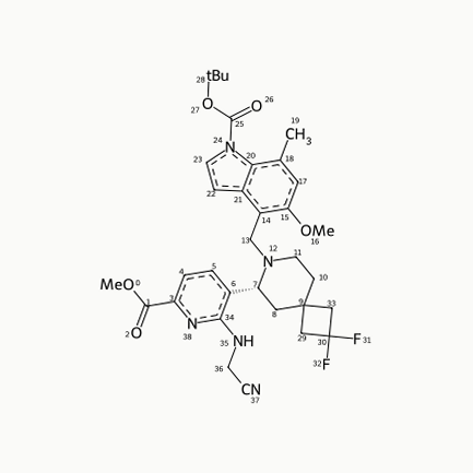 COC(=O)c1ccc([C@H]2CC3(CCN2Cc2c(OC)cc(C)c4c2ccn4C(=O)OC(C)(C)C)CC(F)(F)C3)c(NCC#N)n1